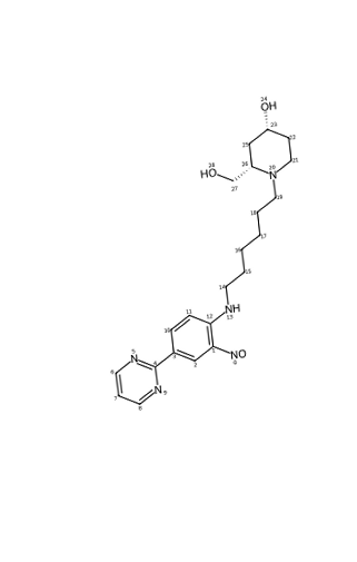 O=Nc1cc(-c2ncccn2)ccc1NCCCCCCN1CC[C@@H](O)C[C@H]1CO